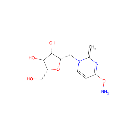 C=C1N=C(ON)C=CN1C[C@@H]1O[C@H](CO)C(O)[C@@H]1O